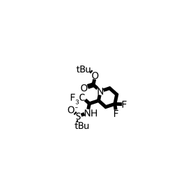 CC(C)(C)OC(=O)N1CCC(F)(F)CC1C(N[S@+]([O-])C(C)(C)C)C(F)(F)F